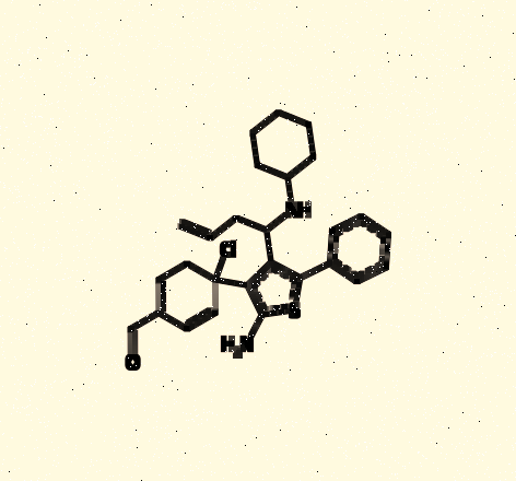 C=CCC(NC1CCCCC1)c1c(-c2ccccc2)sc(N)c1C1(Cl)C=CC(C=O)=CC1